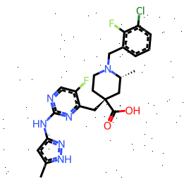 Cc1cc(Nc2ncc(F)c(C[C@@]3(C(=O)O)CCN(Cc4cccc(Cl)c4F)[C@H](C)C3)n2)n[nH]1